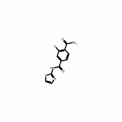 NC(=O)c1ccc(C(=O)Nc2nccs2)cc1F